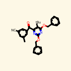 Cc1cc(C#N)cc(C(=O)c2nc(OCc3ccccc3)nc(OCc3ccccc3)c2C(C)(C)C)c1